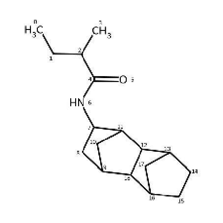 CCC(C)C(=O)NC1CC2CC1C1C3CCC(C3)C21